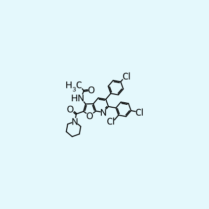 CC(=O)Nc1c(C(=O)N2CCCCC2)oc2nc(-c3ccc(Cl)cc3Cl)c(-c3ccc(Cl)cc3)cc12